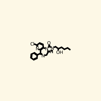 CCCCC(O)Cn1nc2n(c1=O)-c1ccc(Cl)nc1C(c1ccccc1)=NC2